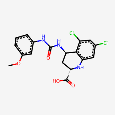 COc1cccc(NC(=O)N[C@@H]2C[C@@H](C(=O)O)Nc3cc(Cl)cc(Cl)c32)c1